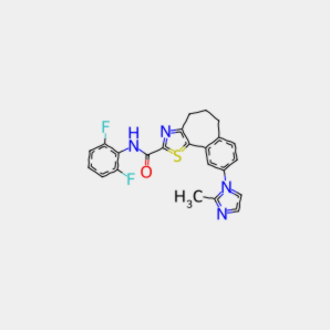 Cc1nccn1-c1ccc2c(c1)-c1sc(C(=O)Nc3c(F)cccc3F)nc1CCC2